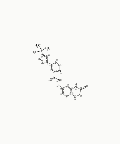 CC(C)(C)n1nnc(-c2cc(C(=O)NCc3ccc4c(c3)NC(=O)CO4)ncn2)n1